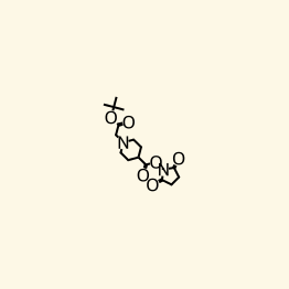 CC(C)(C)OC(=O)CN1CCC(C(=O)ON2C(=O)CCC2=O)CC1